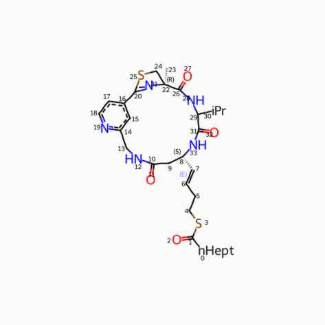 CCCCCCCC(=O)SCC/C=C/[C@@H]1CC(=O)NCc2cc(ccn2)C2=N[C@@](C)(CS2)C(=O)NC(C(C)C)C(=O)N1